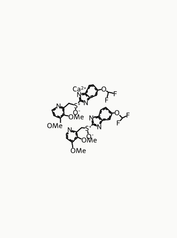 COc1ccnc(C[S+]([O-])c2nc3cc(OC(F)F)ccc3[n-]2)c1OC.COc1ccnc(C[S+]([O-])c2nc3cc(OC(F)F)ccc3[n-]2)c1OC.[Ca+2]